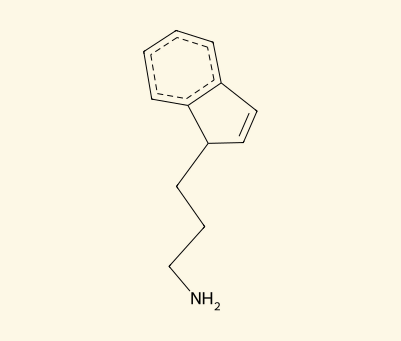 NCCCC1C=Cc2ccccc21